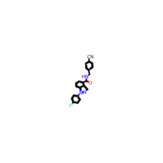 N#Cc1ccc(CNC(=O)c2cccc3c2cnn3-c2ccc(F)cc2)cc1